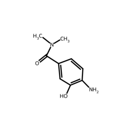 CN(C)C(=O)c1ccc(N)c(O)c1